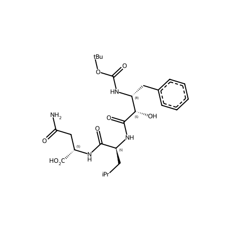 CC(C)C[C@H](NC(=O)[C@@H](O)[C@@H](Cc1ccccc1)NC(=O)OC(C)(C)C)C(=O)N[C@@H](CC(N)=O)C(=O)O